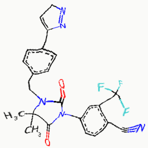 CC1(C)C(=O)N(c2ccc(C#N)c(C(F)(F)F)c2)C(=O)N1Cc1ccc(C2=CCN=N2)cc1